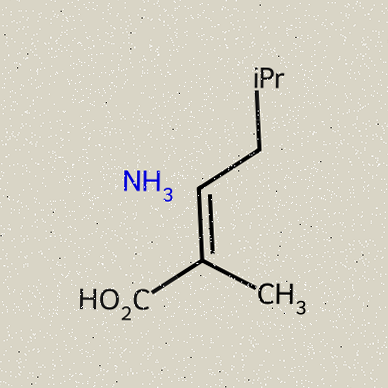 CC(=CCC(C)C)C(=O)O.N